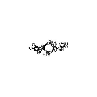 O=c1[nH]cnc2c1ncn2C1OC2COP(=O)(S)OC3C(O)C(COP(=O)(S)OC2C1F)OC3n1cnc2cc(Cl)c(Cl)cc21